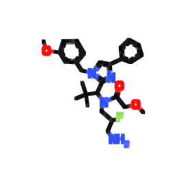 COCC(=O)N(CC(F)CN)C(c1nc(-c2ccccc2)cn1Cc1cccc(OC)c1)C(C)(C)C